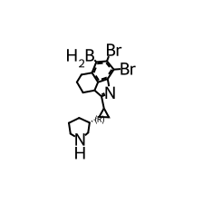 Bc1c(Br)c(Br)c2c3c1CCCC3C(C1C[C@@H]1C1CCCNC1)=N2